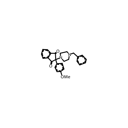 COc1ccc(C2(N3CCN(Cc4ccccc4)CC3)C(=O)c3ccccc3C2=O)cc1